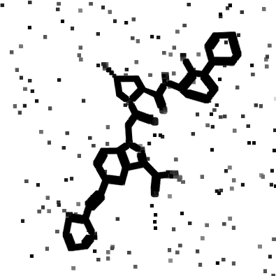 NC(=O)c1nn(CC(=O)N2C[C@H](F)C[C@H]2C(=O)Nc2cccc(-c3ccccc3)c2F)c2ccc(C#Cc3ncccn3)cc12